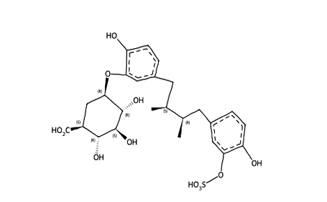 C[C@H](Cc1ccc(O)c(OS(=O)(=O)O)c1)[C@@H](C)Cc1ccc(O)c(O[C@@H]2C[C@H](C(=O)O)[C@@H](O)[C@H](O)[C@H]2O)c1